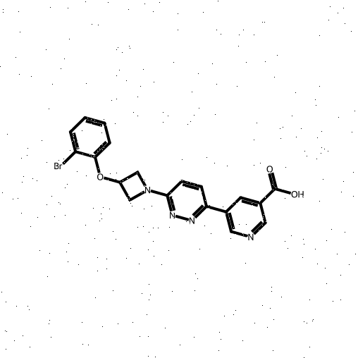 O=C(O)c1cncc(-c2ccc(N3CC(Oc4ccccc4Br)C3)nn2)c1